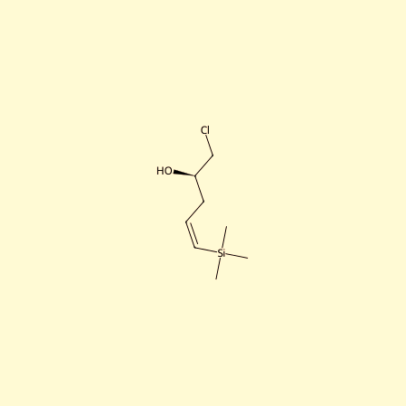 C[Si](C)(C)/C=C\C[C@@H](O)CCl